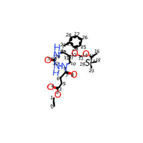 CCOC(=O)CCC(=O)N1C[C@@H](OCOC(C)[Si](C)(C)C)[C@@H](Cc2ccccc2)NC(=O)N1